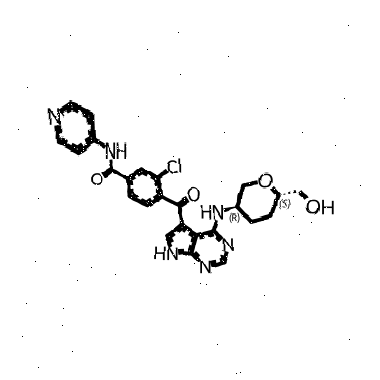 O=C(Nc1ccncc1)c1ccc(C(=O)c2c[nH]c3ncnc(N[C@@H]4CC[C@@H](CO)OC4)c23)c(Cl)c1